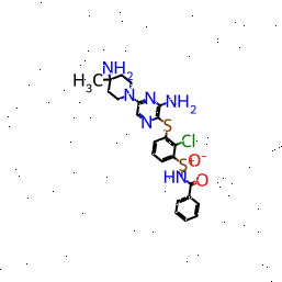 CC1(N)CCN(c2cnc(Sc3cccc([S+]([O-])NC(=O)c4ccccc4)c3Cl)c(N)n2)CC1